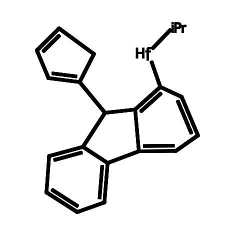 C[CH](C)[Hf][c]1cccc2c1C(C1=CC=CC1)c1ccccc1-2